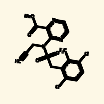 C#CCN(c1nccnc1C(=O)OC)S(=O)(=O)Cc1c(Cl)ccc(Cl)c1C(F)(F)F